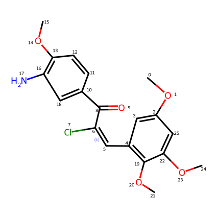 COc1cc(/C=C(/Cl)C(=O)c2ccc(OC)c(N)c2)c(OC)c(OC)c1